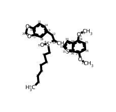 CCCCCCCC[S+]([O-])C(C)Cc1ccc2c(c1)OCO2.COc1ccc(OC)c2sccc12